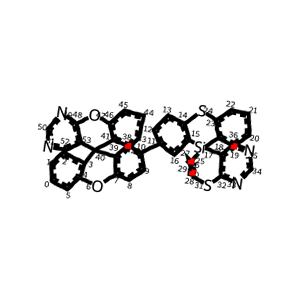 c1ccc2c(c1)Oc1ccc(-c3ccc4c(c3)[Si]3(c5ccccc5S4)c4ccccc4Sc4ncncc43)cc1C21c2ccccc2Oc2ncncc21